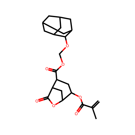 C=C(C)C(=O)OC1CC(C(=O)OCOC2C3CC4CC(C3)CC2C4)C2CC1OC2=O